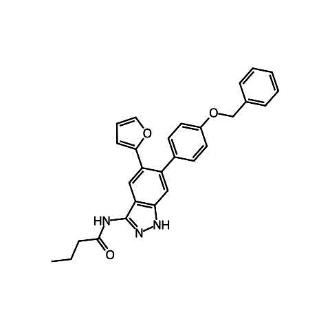 CCCC(=O)Nc1n[nH]c2cc(-c3ccc(OCc4ccccc4)cc3)c(-c3ccco3)cc12